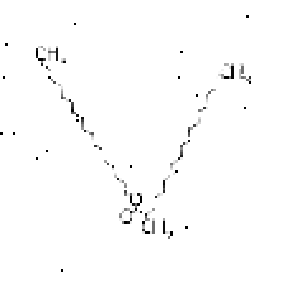 C=C(CCCCCCCCCCCCCCCCC)C(=O)OCCCCCCCCCCCCCCCCCC